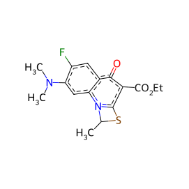 CCOC(=O)c1c2n(c3cc(N(C)C)c(F)cc3c1=O)C(C)S2